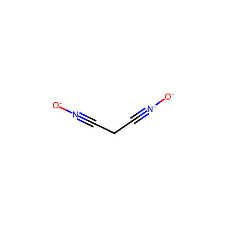 [O-][N+]#CCC#[N+][O-]